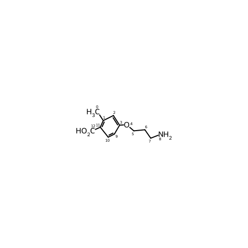 Cc1cc(OCCCN)ccc1C(=O)O